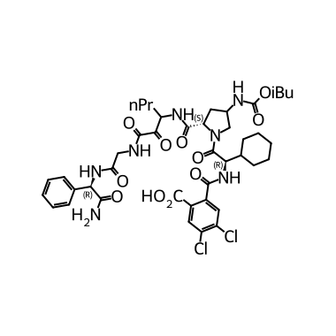 CCCC(NC(=O)[C@@H]1CC(NC(=O)OCC(C)C)CN1C(=O)[C@H](NC(=O)c1cc(Cl)c(Cl)cc1C(=O)O)C1CCCCC1)C(=O)C(=O)NCC(=O)N[C@@H](C(N)=O)c1ccccc1